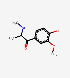 CNC(C)C(=O)c1ccc(O)c(OC)c1